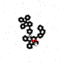 c1ccc(C2(c3ccccc3)c3ccccc3-c3c(-c4ccc(N(c5cccc(-c6ccc7ccc8ccccc8c7c6)c5)c5ccccc5-c5cc6ccccc6c6ccccc56)cc4)cccc32)cc1